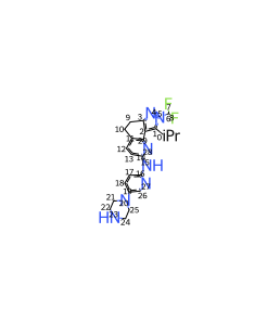 CC(C)c1c2c(nn1C(F)F)CCc1ccc(Nc3ccc(N4CCNCC4)cn3)nc1-2